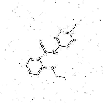 CCOc1ccccc1C(=O)Nc1ccc(F)cc1